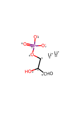 O=CC(O)COP(=O)([O-])[O-].[Li+].[Li+]